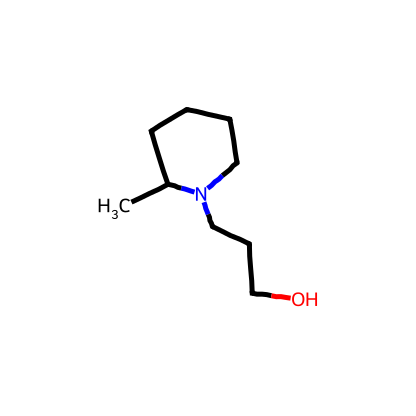 CC1CCCCN1CCCO